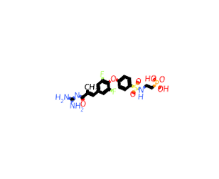 C/C(=C\c1cc(F)c(Oc2ccc(S(=O)(=O)NCCP(=O)(O)O)cc2)c(F)c1)C(=O)N=C(N)N